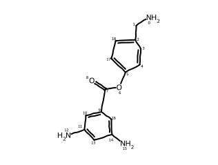 NCc1ccc(OC(=O)c2cc(N)cc(N)c2)cc1